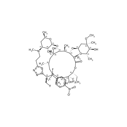 CC[C@H]1OC(=O)[C@H](C)[C@@H](O[C@H]2C[C@@](C)(OC)[C@@H](O)[C@H](C)O2)[C@H](C)[C@@H](O[C@@H]2O[C@H](C)C[C@H](N(C)CCc3cn([C@H](CF)C(F)c4ccc([N+](=O)[O-])cc4)nn3)[C@H]2O)[C@](C)(O)C[C@@H](C)CN(C)[C@H](C)[C@@H](O)[C@]1(C)O